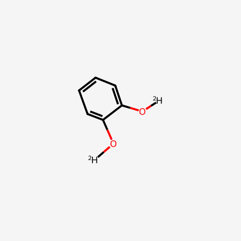 [2H]Oc1ccccc1O[2H]